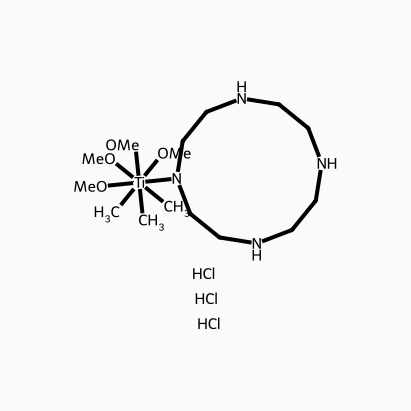 C[O][Ti]([CH3])([CH3])([CH3])([O]C)([O]C)([O]C)[N]1CCNCCNCCNCC1.Cl.Cl.Cl